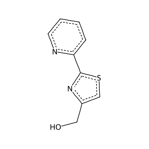 OCc1csc(-c2ccccn2)n1